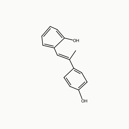 CC(=Cc1ccccc1O)c1ccc(O)cc1